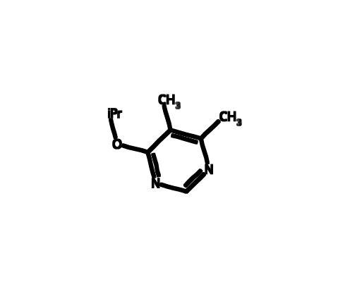 Cc1ncnc(OC(C)C)c1C